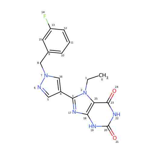 CCn1c(-c2cnn(Cc3cccc(F)c3)c2)nc2[nH]c(=O)[nH]c(=O)c21